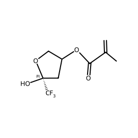 C=C(C)C(=O)OC1CO[C@@](O)(C(F)(F)F)C1